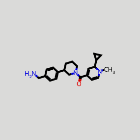 CN1C=CC(C(=O)N2CCCC(c3ccc(CN)cc3)C2)=CC1C1CC1